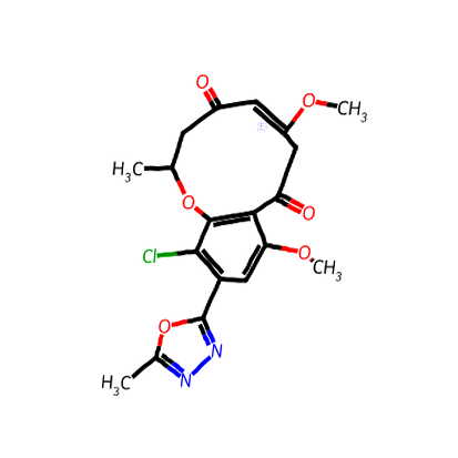 CO/C1=C/C(=O)CC(C)Oc2c(Cl)c(-c3nnc(C)o3)cc(OC)c2C(=O)C1